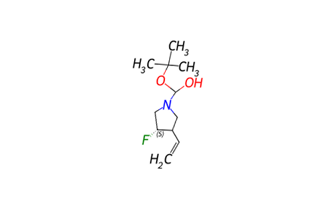 C=CC1CN(C(O)OC(C)(C)C)C[C@H]1F